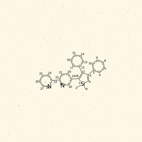 C[Si]1(C)C=C(c2ccccc2)C(c2ccccc2)=C1c1ccc(-c2ccccn2)nc1